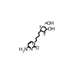 Nc1ccn(CCCCC2S[C@H](CO)[C@@H](O)[C@@H]2F)c(=O)n1